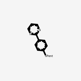 CCCCCc1ccc(-c2nc[c]cn2)cc1